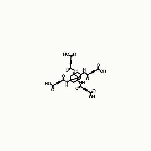 O=C(O)C#CC(=O)NC12CC3(NC(=O)C#CC(=O)O)CC(NC(=O)C#CC(=O)O)(C1)CC(NC(=O)C#CC(=O)O)(C2)C3